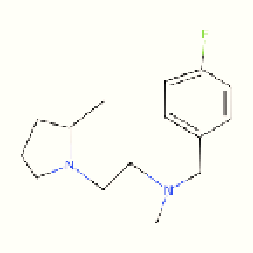 CC1CCCN1CCN(C)Cc1ccc(F)cc1